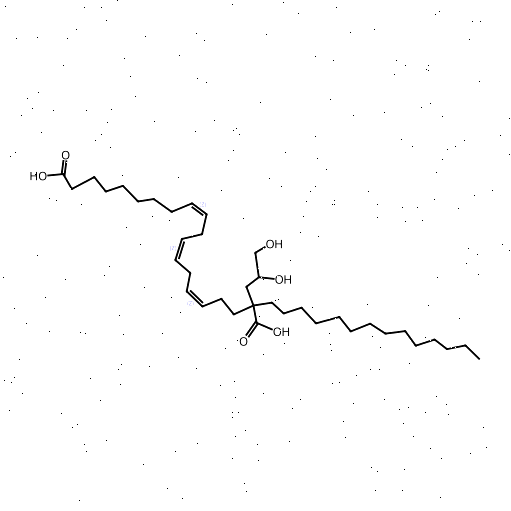 CCCCCCCCCCCCCCC(CC/C=C\C/C=C\C/C=C\CCCCCCCC(=O)O)(CC(O)CO)C(=O)O